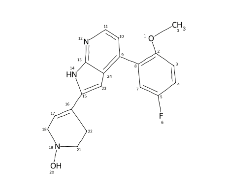 COc1ccc(F)cc1-c1ccnc2[nH]c(C3=CCN(O)CC3)cc12